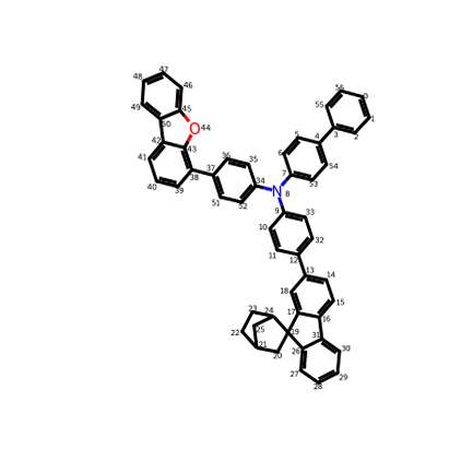 c1ccc(-c2ccc(N(c3ccc(-c4ccc5c(c4)C4(CC6CCC4C6)c4ccccc4-5)cc3)c3ccc(-c4cccc5c4oc4ccccc45)cc3)cc2)cc1